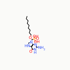 CCCCCCCCCOC(N1CNc2c1nc(N)[nH]c2=O)P(=O)(O)O